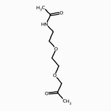 CC(=O)COCCOCCNC(C)=O